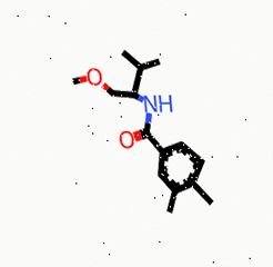 COCC(NC(=O)c1ccc(C)c(C)c1)C(C)C